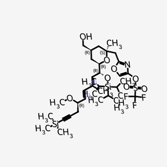 CO[C@@H](/C=C/C(C)=C/[C@@H](O[Si](C(C)C)(C(C)C)C(C)C)[C@H]1C[C@@H](CO)C[C@@](C)(Cc2nc(OS(=O)(=O)C(F)(F)F)co2)O1)CC#C[Si](C)(C)C